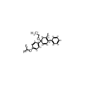 CCOC1(c2ccc(OC(F)F)cc2)C=CC(c2ccccc2)=C(F)C1